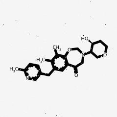 Cc1ccc(Cc2cc3c(c(C)c2C)OCN(C2COCC[C@@H]2O)CC3=O)cn1